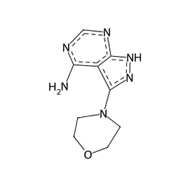 Nc1ncnc2[nH]nc(N3CCOCC3)c12